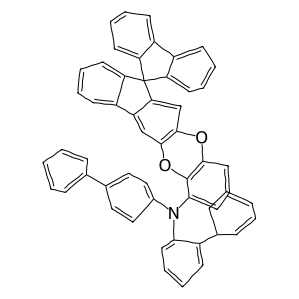 C1=CCC(c2ccccc2N(c2ccc(-c3ccccc3)cc2)c2cccc3c2Oc2cc4c(cc2O3)C2(c3ccccc3-c3ccccc32)c2ccccc2-4)C=C1